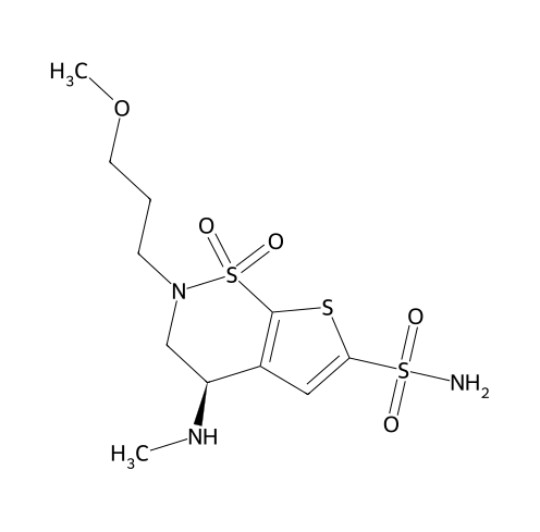 CN[C@H]1CN(CCCOC)S(=O)(=O)c2sc(S(N)(=O)=O)cc21